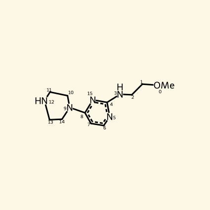 COCCNc1nccc(N2CCNCC2)n1